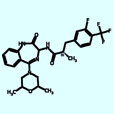 CC1CN(C2=NC(NC(=O)[C@@H](C)Cc3ccc(C(F)(F)F)c(F)c3)C(=O)Nc3ccccc32)CC(C)O1